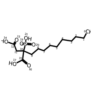 CCCCCCCCCCC(CC(=O)O)(C(=O)O)S(=O)(=O)O